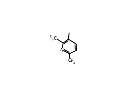 Cc1ccc(C(F)(F)F)nc1C(F)(F)F